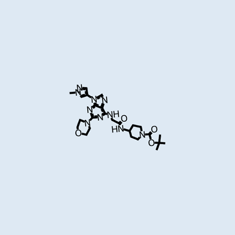 Cn1cc(-n2cnc3c(NCC(=O)NC4CCN(C(=O)OC(C)(C)C)CC4)nc(N4CCOCC4)nc32)cn1